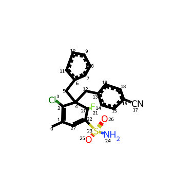 CC1=C(Cl)C(Cc2ccccc2)(Cc2ccc(C#N)cc2)C(F)C(S(N)(=O)=O)=C1